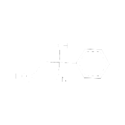 CC(C#N)(OC(=O)O)c1ccccc1